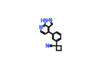 N#CC1(c2cccc(-c3ccnc4[nH]ncc34)c2)CCC1